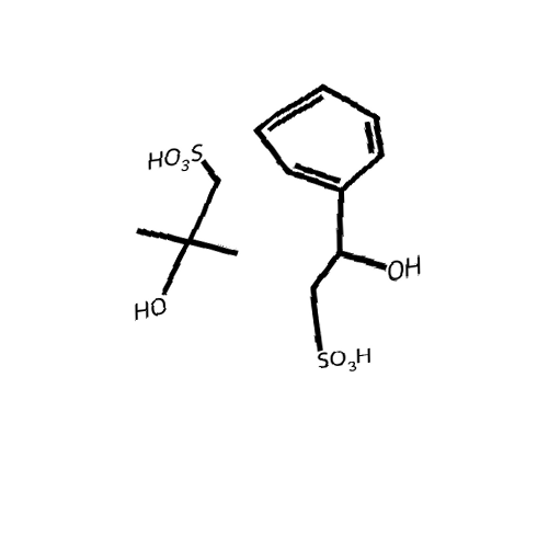 CC(C)(O)CS(=O)(=O)O.O=S(=O)(O)CC(O)c1ccccc1